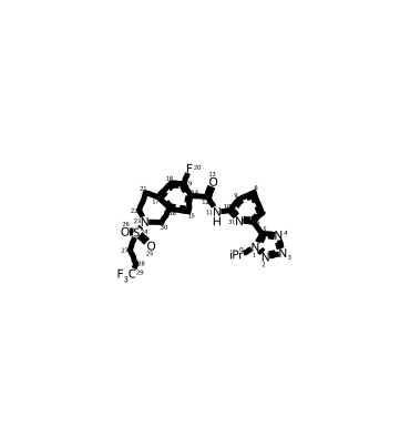 CC(C)n1nnnc1-c1cccc(NC(=O)c2cc3c(cc2F)CCN(S(=O)(=O)CCC(F)(F)F)C3)n1